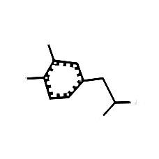 CCCCC(CC)Cc1ccc(O)c(C(=O)O)c1